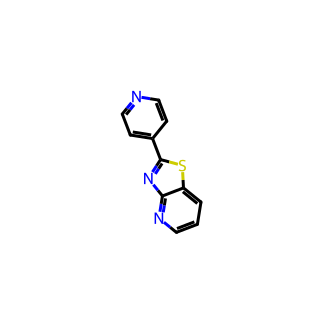 c1cnc2nc(-c3ccncc3)sc2c1